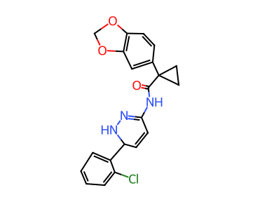 O=C(NC1=NNC(c2ccccc2Cl)C=C1)C1(c2ccc3c(c2)OCO3)CC1